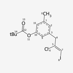 Cc1cc(C/C(Cl)=C/I)cc(OC(=O)C(C)(C)C)c1